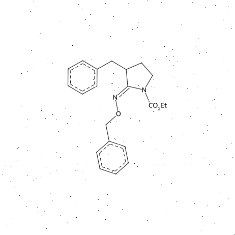 CCOC(=O)N1CCC(Cc2ccccc2)C1=NOCc1ccccc1